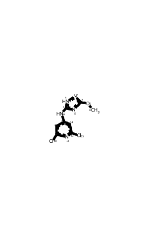 COc1n[nH]c(Nc2cc(Cl)nc(Cl)c2)n1